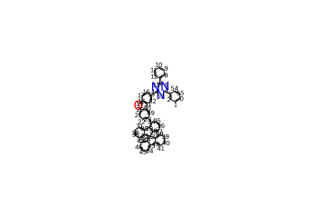 c1ccc(-c2nc(-c3ccccc3)nc(-c3ccc4oc5ccc(-c6cccc7c6-c6ccccc6C76c7ccccc7-c7ccccc76)cc5c4c3)n2)cc1